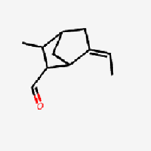 CC=C1CC2CC1C(C=O)C2C